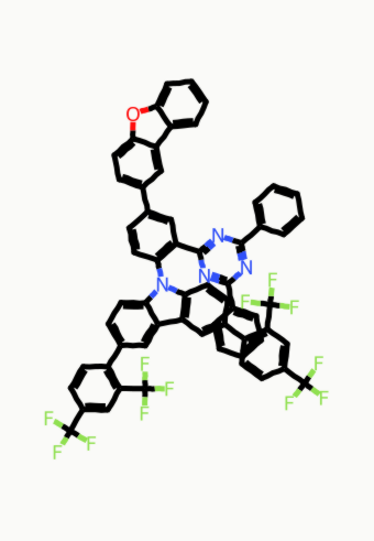 FC(F)(F)c1ccc(-c2ccc3c(c2)c2cc(-c4ccc(C(F)(F)F)cc4C(F)(F)F)ccc2n3-c2ccc(-c3ccc4oc5ccccc5c4c3)cc2-c2nc(-c3ccccc3)nc(-c3ccccc3)n2)c(C(F)(F)F)c1